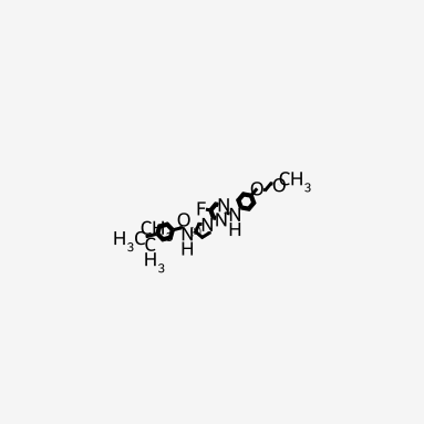 COCCOc1ccc(Nc2ncc(F)c(N3CC[C@H](NC(=O)c4ccc(C(C)(C)C)cc4)C3)n2)cc1